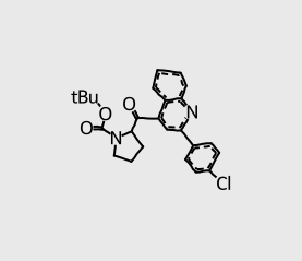 CC(C)(C)OC(=O)N1CCCC1C(=O)c1cc(-c2ccc(Cl)cc2)nc2ccccc12